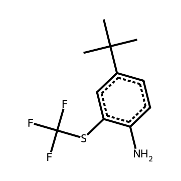 CC(C)(C)c1ccc(N)c(SC(F)(F)F)c1